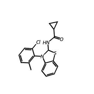 Cc1cccc(Cl)c1N1c2ccccc2SC1NC(=O)C1CC1